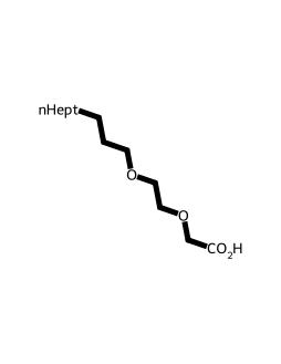 CCCCCCCCCCOCCOCC(=O)O